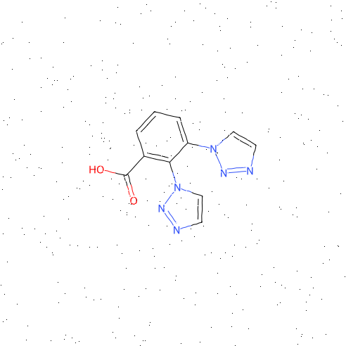 O=C(O)c1cccc(-n2ccnn2)c1-n1ccnn1